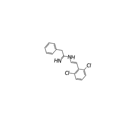 N=C(Cc1ccccc1)NC=Cc1c(Cl)cccc1Cl